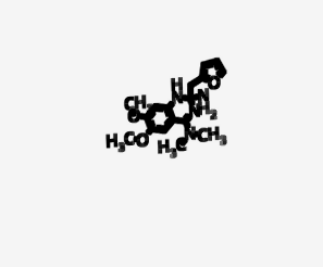 COc1cc2c(cc1OC)C(N(C)C)=NC(N)(Cc1ccco1)N2